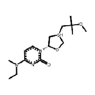 CCN(C)c1ccn([C@@H]2C[SH](CC(C)(C)OC)CO2)c(=O)n1